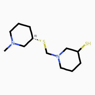 CN1CCC[C@H](SCN2CCCC(S)C2)C1